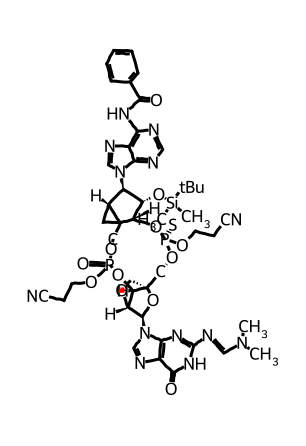 CN(C)/C=N/c1nc2c(ncn2[C@@H]2O[C@@]34CO[C@@H]2[C@@H]3OP(=O)(OCCC#N)OCC23C[C@@H]2[C@@H](n2cnc5c(NC(=O)c6ccccc6)ncnc52)[C@H](O[Si](C)(C)C(C)(C)C)[C@@H]3OP(=S)(OCCC#N)OC4)c(=O)[nH]1